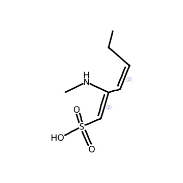 CC/C=C\C(=C\S(=O)(=O)O)NC